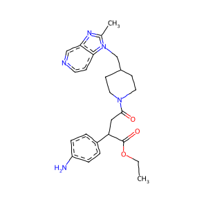 CCOC(=O)C(CC(=O)N1CCC(Cn2c(C)nc3cnccc32)CC1)c1ccc(N)cc1